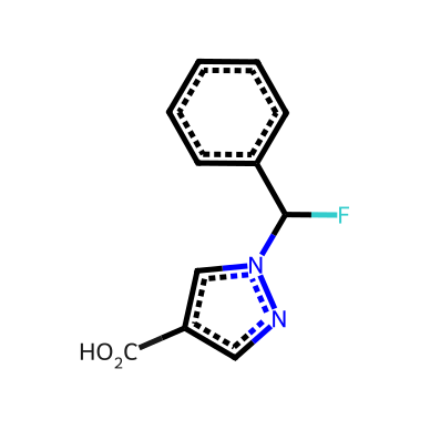 O=C(O)c1cnn(C(F)c2ccccc2)c1